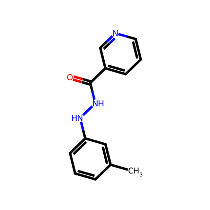 Cc1cccc(NNC(=O)c2cccnc2)c1